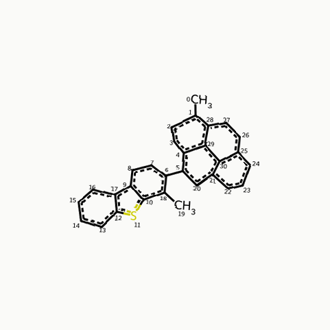 Cc1ccc2c(-c3ccc4c(sc5ccccc54)c3C)cc3cccc4ccc1c2c43